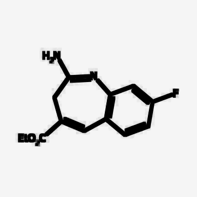 CCOC(=O)C1=Cc2ccc(F)cc2N=C(N)C1